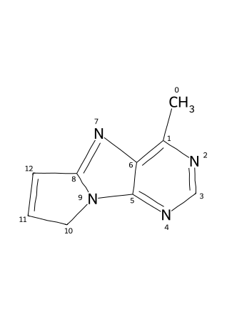 Cc1ncnc2c1nc1n2CC=C1